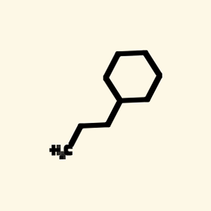 [CH2]CCC1CCCCC1